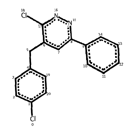 Clc1ccc(Cc2cc(-c3ccccc3)nnc2Cl)cc1